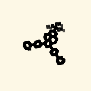 CC(C)(C)c1cc2c3c(ccc4c(-c5ccc(-c6ccccn6)cc5)cc(-c5ccc(-c6ccccn6)cc5)c(c43)CC2)c1